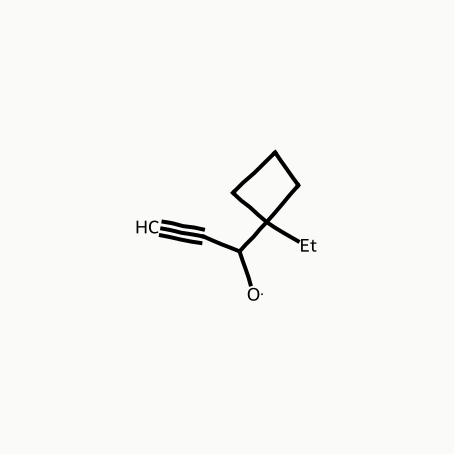 C#CC([O])C1(CC)CCC1